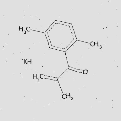 C=C(C)C(=O)c1cc(C)ccc1C.[KH]